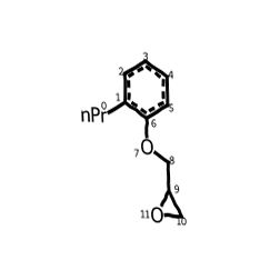 [CH2]CCc1ccccc1OCC1CO1